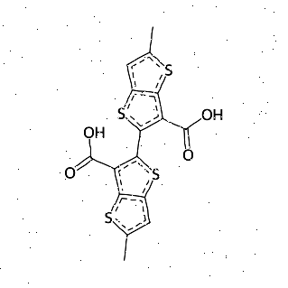 Cc1cc2sc(-c3sc4cc(C)sc4c3C(=O)O)c(C(=O)O)c2s1